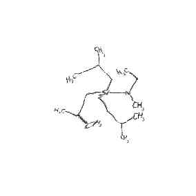 CCN(C)[Si](CC(C)C)(CC(C)C)CC(C)C